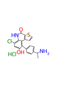 CC(N)c1ccc(-c2c(O)cc(Cl)c3[nH]c(=O)c4sccc4c23)cc1.Cl